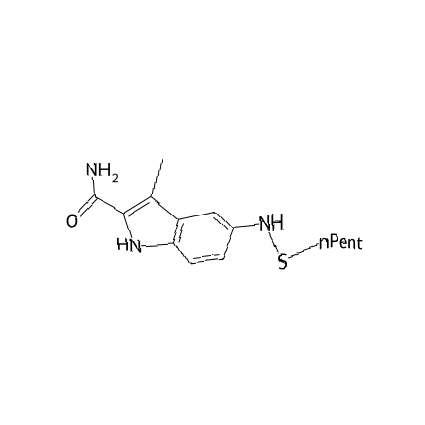 CCCCCSNc1ccc2[nH]c(C(N)=O)c(C)c2c1